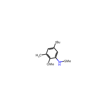 COc1c(C)cc(C(C)(C)C)cc1NSC